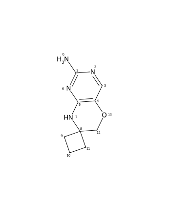 Nc1ncc2c(n1)NC1(CCC1)CO2